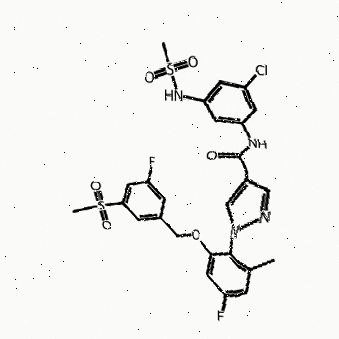 Cc1cc(F)cc(OCc2cc(F)cc(S(C)(=O)=O)c2)c1-n1cc(C(=O)Nc2cc(Cl)cc(NS(C)(=O)=O)c2)cn1